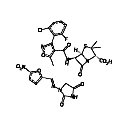 Cc1onc(-c2c(F)cccc2Cl)c1C(=O)N[C@@H]1C(=O)N2[C@@H]1SC(C)(C)[C@@H]2C(=O)O.O=C1CN(/N=C/c2ccc([N+](=O)[O-])o2)C(=O)N1